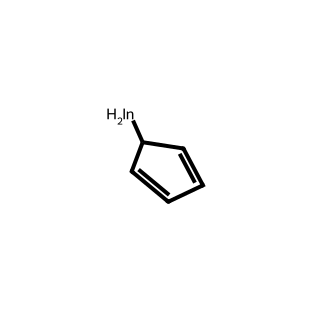 [InH2][CH]1C=CC=C1